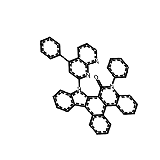 O=c1c2c(c3ccccc3c3c4ccccc4n(-c4cc(-c5ccccc5)c5cccnc5n4)c23)c2ccccc2n1-c1ccccc1